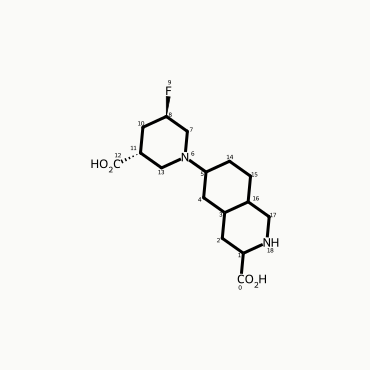 O=C(O)C1CC2CC(N3C[C@H](F)C[C@@H](C(=O)O)C3)CCC2CN1